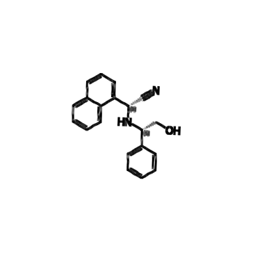 N#C[C@H](N[C@H](CO)c1ccccc1)c1cccc2ccccc12